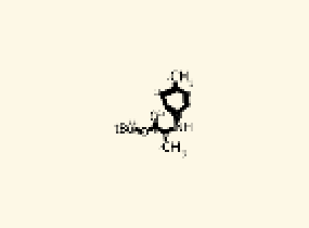 Cc1ccc(N[C@@H](C)C(=O)OC(C)(C)C)cc1